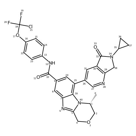 C[C@@H]1COCc2nc3cc(C(=O)Nc4ccc(OC(F)(F)Cl)cc4)cc(-c4cnc5c(c4)C(=O)N(C4CC4)C5)c3n21